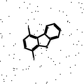 Ic1ccc(I)c2c1sc1ccccc12